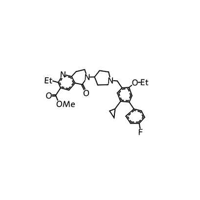 CCOc1cc(-c2ccc(F)cc2)c(C2CC2)cc1CN1CCC(N2CCc3nc(CC)c(C(=O)OC)cc3C2=O)CC1